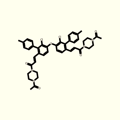 CC(=O)N1CCN(C(=O)/C=C/c2ccc(Sc3ccc(/C=C/C(=O)N4CCN(C(C)=O)CC4)c(-c4ccc(C)cc4)c3Cl)c(Cl)c2-c2ccc(C)cc2)CC1